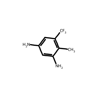 Cc1c(N)cc(N)cc1C(F)(F)F